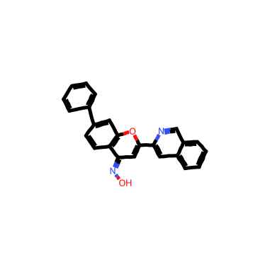 ON=c1cc(-c2cc3ccccc3cn2)oc2cc(-c3ccccc3)ccc12